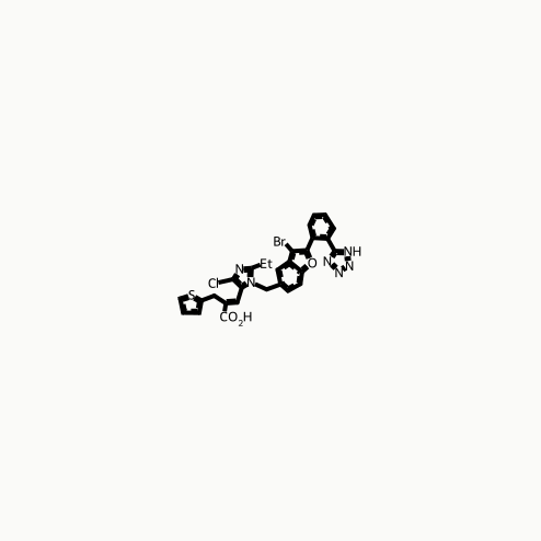 CCc1nc(Cl)c(C=C(Cc2cccs2)C(=O)O)n1Cc1ccc2oc(-c3ccccc3-c3nnn[nH]3)c(Br)c2c1